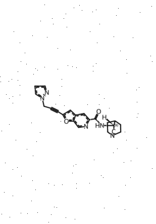 O=C(N[C@H]1CN2CCC1CC2)c1cc2cc(C#CCn3cccn3)oc2cn1